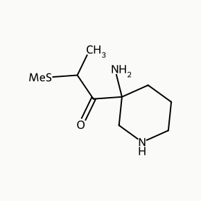 CSC(C)C(=O)C1(N)CCCNC1